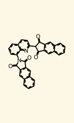 O=C1c2cc3ccccc3cc2C(=O)C1c1ccc2cccc(N3C(=O)c4cc5ccccc5cc4C3=O)c2n1